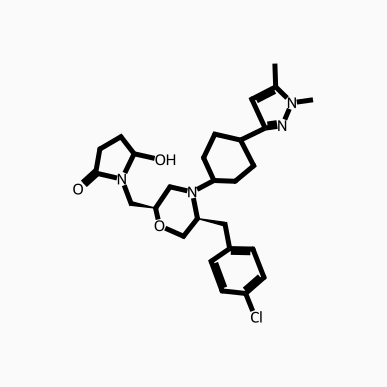 Cc1cc(C2CCC(N3C[C@H](CN4C(=O)CCC4O)OC[C@@H]3Cc3ccc(Cl)cc3)CC2)nn1C